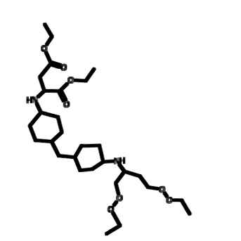 CCOOCCC(COOCC)NC1CCC(CC2CCC(NC(CC(=O)OCC)C(=O)OCC)CC2)CC1